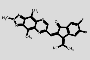 C/C(C#N)=C1/C(=C/c2cnc3c(C)c4nn(C)nc4c(C)c3n2)C(=O)c2cc(F)c(F)cc21